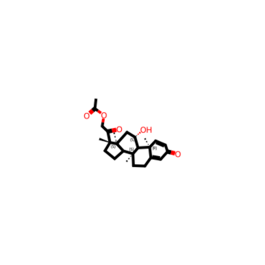 CC(=O)OCC(=O)[C@@]1(C)CCC2[C@]3(C)CCC4=CC(=O)C=C[C@]4(C)C3[C@@H](O)C[C@@]21C